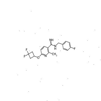 Cc1nc(OC2CC(F)(F)C2)ccc1C(=N)NCc1ccc(F)cc1